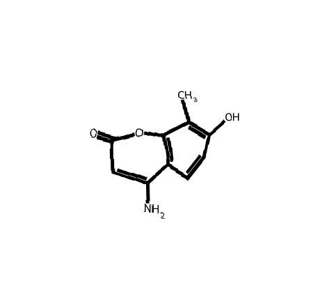 Cc1c(O)ccc2c(N)cc(=O)oc12